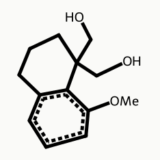 COc1cccc2c1C(CO)(CO)CCC2